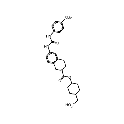 CSc1ccc(NC(=O)Nc2ccc3c(c2)CCN(C(=O)OC2CCC(CC(=O)O)CC2)C3)cc1